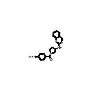 CNc1ccc(C(=O)N2CC[C@@H](Nc3ncc4ccccc4n3)C2)cc1